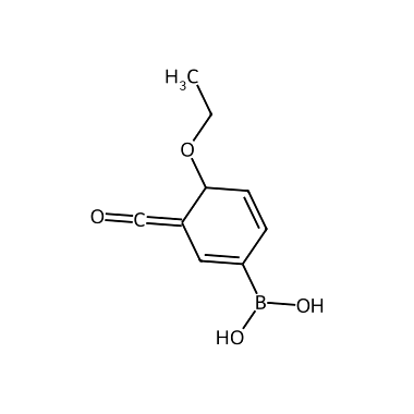 CCOC1C=CC(B(O)O)=CC1=C=O